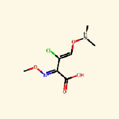 CON=C(C(=O)O)C(Cl)=CO[SiH](C)C